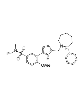 COc1ccc(S(=O)(=O)N(C)C(C)C)cc1-c1ccc(CN2CCCCC[C@@H]2c2ccccc2)[nH]1